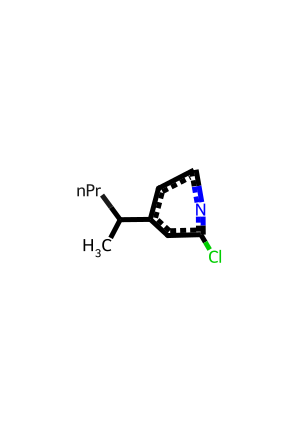 CCCC(C)c1ccnc(Cl)c1